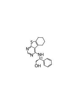 OC[C@@H](Nc1ncnc2sc3c(c12)CCCC3)c1ccccc1